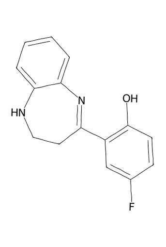 Oc1ccc(F)cc1C1=Nc2ccccc2NCC1